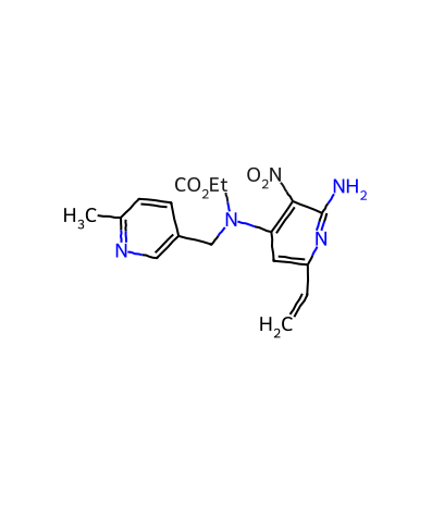 C=Cc1cc(N(Cc2ccc(C)nc2)C(=O)OCC)c([N+](=O)[O-])c(N)n1